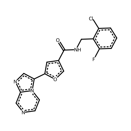 O=C(NCc1c(F)cccc1Cl)c1coc(-c2cnc3cnccn23)c1